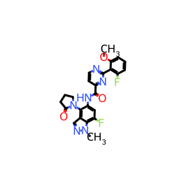 COc1cccc(F)c1-c1nccc(C(=O)Nc2cc(F)c3c(cnn3C)c2N2CCCC2=O)n1